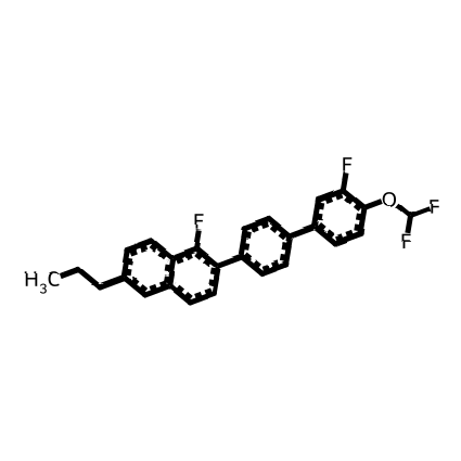 CCCc1ccc2c(F)c(-c3ccc(-c4ccc(OC(F)F)c(F)c4)cc3)ccc2c1